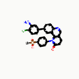 CCS(=O)(=O)c1ccc(-n2c(=O)ccc3cnc4ccc(-c5ccc(Cl)c(N)c5)cc4c32)cc1